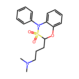 CN(C)CCCC1Oc2ccccc2N(c2ccccc2)S1(=O)=O